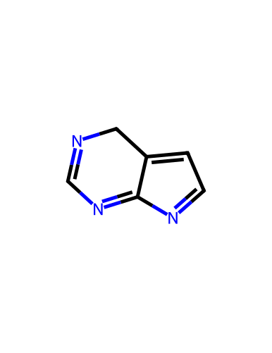 C1=NCC2=CC=NC2=N1